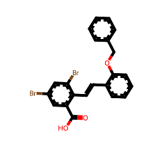 O=C(O)c1cc(Br)cc(Br)c1C=Cc1ccccc1OCc1ccccc1